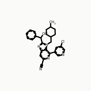 CC1CCC(Cn2c(C(O)c3ccccc3)nc3cc(C#N)nc(-c4cncc(Cl)c4)c32)CC1